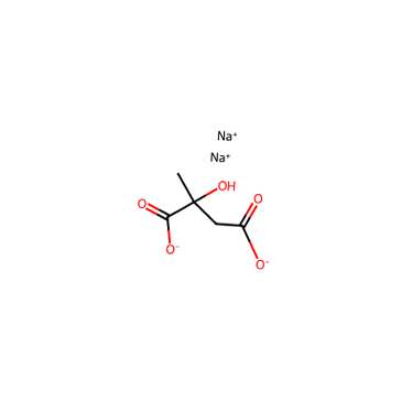 CC(O)(CC(=O)[O-])C(=O)[O-].[Na+].[Na+]